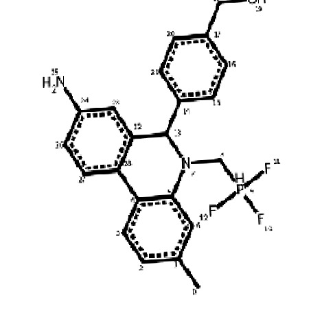 Cc1ccc2c(c1)N(C[PH](F)(F)F)C(c1ccc(CO)cc1)c1cc(N)ccc1-2